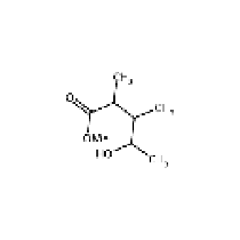 COC(=O)C(C)C(C)C(C)O